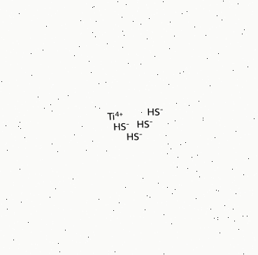 [SH-].[SH-].[SH-].[SH-].[Ti+4]